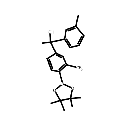 Cc1cccc(C(C)(O)c2ccc(B3OC(C)(C)C(C)(C)O3)c(C(F)(F)F)c2)c1